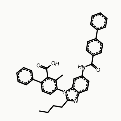 CCCCc1nc2ccc(NC(=O)c3ccc(-c4ccccc4)cc3)cc2n1-c1ccc(-c2ccccc2)c(C(=O)O)c1C